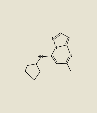 Ic1cc(NC2CCCC2)n2nccc2n1